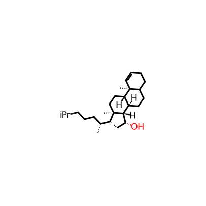 CC(C)CCC[C@@H](C)[C@H]1C[C@@H](O)[C@H]2[C@@H]3CCC4CCC=C[C@]4(C)[C@H]3CC[C@@]21C